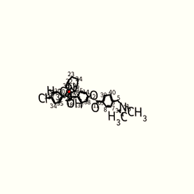 CCN(CC)Cc1ccc(C(=O)Oc2ccc([C@@H](O)[C@H](C)N3C4CCC3CC(Sc3ccc(Cl)cc3)C4)cc2)cc1